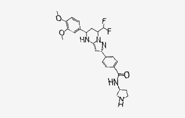 COc1ccc(C2CC(C(F)F)n3nc(-c4ccc(C(=O)N[C@H]5CCNC5)cc4)cc3N2)cc1OC